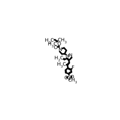 C=Cc1c(/C=C(\C)c2ccc(S(C)(=O)=O)cc2F)cnn1C1CCN(C(=O)OC(C)(C)CC)CC1